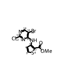 COC(=O)c1sccc1Nc1nc(Cl)ncc1Br